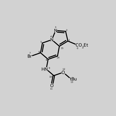 CCOC(=O)c1cnn2cc(Br)c(NC(=O)OC(C)(C)C)cc12